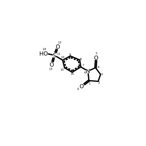 O=C1CCC(=O)N1c1ccc(S(=O)(=O)O)cc1